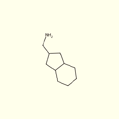 NCC1CC2CCCCC2C1